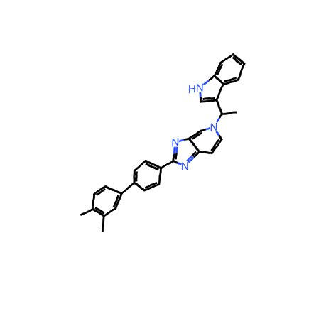 Cc1ccc(-c2ccc(-c3nc4ccn(C(C)c5c[nH]c6ccccc56)cc-4n3)cc2)cc1C